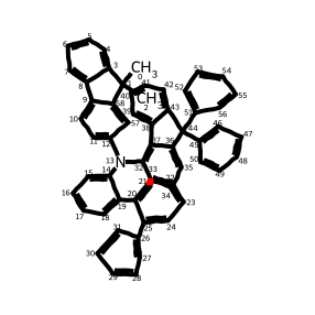 CC1(C)c2ccccc2-c2ccc(N(c3ccccc3-c3ccccc3-c3ccccc3)c3cccc4c3-c3ccccc3C4(c3ccccc3)c3ccccc3)cc21